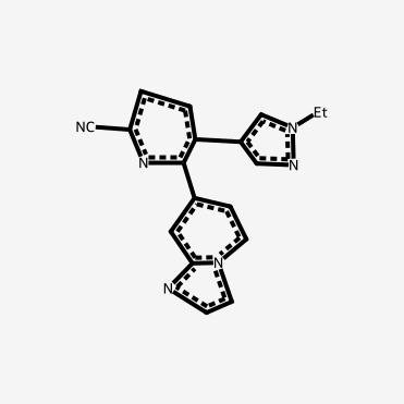 CCn1cc(-c2ccc(C#N)nc2-c2ccn3ccnc3c2)cn1